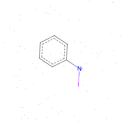 I[N]c1ccccc1